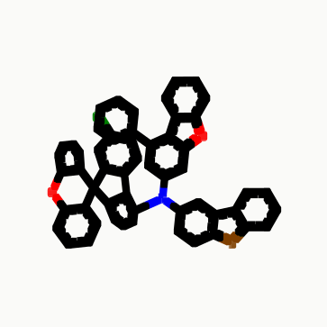 Clc1ccc2c(c1)C1(c3ccccc3Oc3ccccc31)c1cccc(N(c3cc(-c4ccccc4)c4c(c3)oc3ccccc34)c3ccc4sc5ccccc5c4c3)c1-2